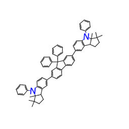 CC1(C)CCC2c3cc(-c4ccc5c(c4)C(c4ccccc4)(c4ccccc4)c4cc(-c6ccc7c(c6)C6CCC(C)(C)C6(C)N7c6ccccc6)ccc4-5)ccc3N(c3ccccc3)C21C